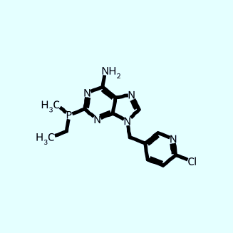 CCP(C)c1nc(N)c2ncn(Cc3ccc(Cl)nc3)c2n1